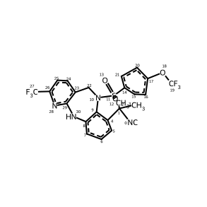 [C-]#[N+]C(C)(C)c1cccc2c1N(S(=O)(=O)c1ccc(OC(F)(F)F)cc1)Cc1ccc(C(F)(F)F)nc1N2